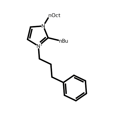 CCCCCCCCn1cc[n+](CCCc2ccccc2)c1CCCC